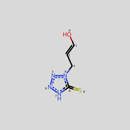 OC=CCn1nn[nH]c1=S